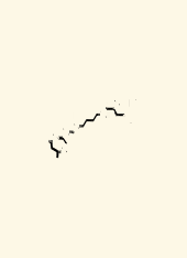 CC(=O)NC(CCS)C(=O)NCCCCNC(=O)NC1=NC(=O)C=C(C)NC1